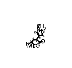 COC(=O)C(CC(F)F)c1cnn(C)c1